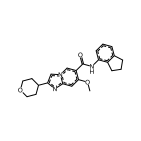 COc1cc2nc(C3CCOCC3)cn2cc1C(=O)Nc1cccc2c1CCC2